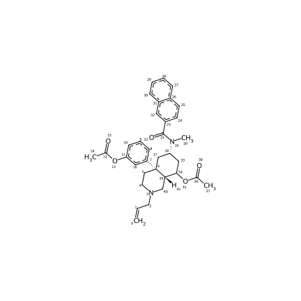 C=CCN1CC[C@@]2(c3cccc(OC(C)=O)c3)C[C@H](N(C)C(=O)c3ccc4ccccc4c3)CC(OC(C)=O)[C@@H]2C1